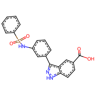 O=C(O)c1ccc2[nH]nc(-c3cccc(NS(=O)(=O)c4ccccc4)c3)c2c1